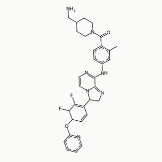 Cc1cc(NC2=NC=CN3C2=NCC3C2=C(F)C(F)C(Oc3ccccn3)C=C2)ccc1C(=O)N1CCC(CN)CC1